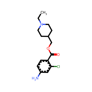 CCN1CCC(COC(=O)c2ccc(N)cc2Cl)CC1